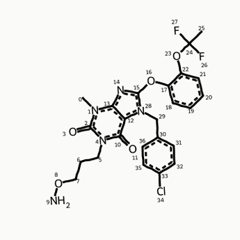 Cn1c(=O)n(CCCON)c(=O)c2c1nc(Oc1ccccc1OC(C)(F)F)n2Cc1ccc(Cl)cc1